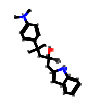 CN(C)c1ccc(C(C)(C)CC(O)(Cc2cc3ccccc3[nH]2)C(F)(F)F)cc1